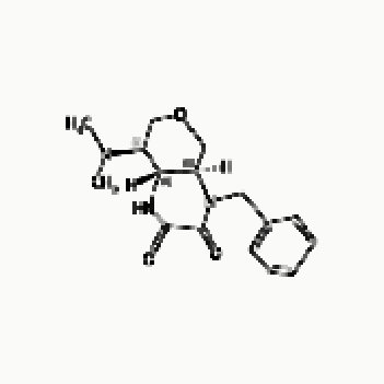 CN(C)[C@H]1COC[C@@H]2[C@@H]1NC(=O)C(=O)N2Cc1ccccc1